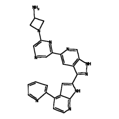 NC1CN(c2cncc(-c3cc4c(-c5cc6c(-c7ccccn7)ccnc6[nH]5)n[nH]c4cn3)n2)C1